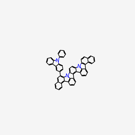 c1ccc(-n2c3ccccc3c3cc(-c4cc5ccccc5c5c6cccc7c8c9c%10cccc%11c%12c%13ccccc%13ccc%12n(c9ccc8n(c45)c76)c%11%10)ccc32)cc1